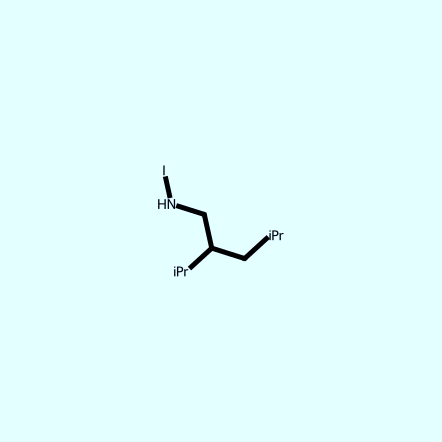 CC(C)CC(CNI)C(C)C